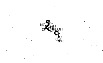 CCC1(c2c(C#N)c(Cl)c3cnc(N[C@H]4CCN(C(=O)OC(C)(C)C)C[C@H]4O)nn23)CCC1